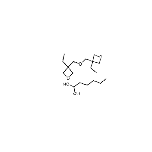 CCC1(COCC2(CC)COC2)COC1.CCCCCC(O)O